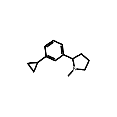 CN1CCCC1c1cccc(C2CC2)c1